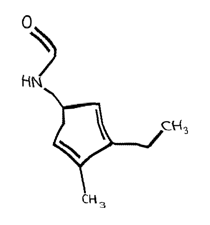 CCC1=CC(NC=O)C=C1C